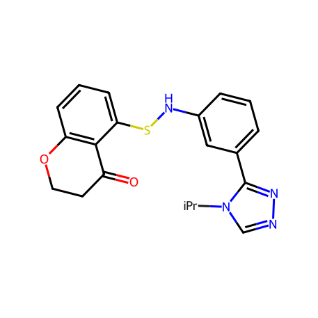 CC(C)n1cnnc1-c1cccc(NSc2cccc3c2C(=O)CCO3)c1